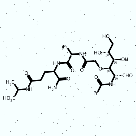 CC(C)C(=O)N[C@@H](C=O)[C@@H](OCC(=O)NC(C(=O)NC(CCC(=O)NC(C)C(=O)O)C(N)=O)C(C)C)[C@H](O)[C@H](O)CO